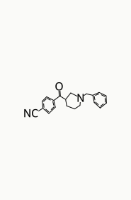 N#Cc1ccc(C(=O)C2CCCN(Cc3ccccc3)C2)cc1